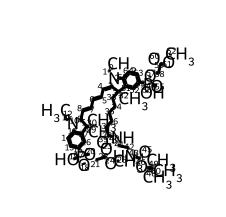 CCN1/C(=C/C=C/C=C/C2=[N+](CC)c3ccc(P(=O)(O)OCC(=O)OC)cc3C2(C)C)C(C)(CCCCCC(=O)NCCNC(=O)OC(C)(C)C)c2cc(P(=O)(O)OCC(=O)OC)ccc21